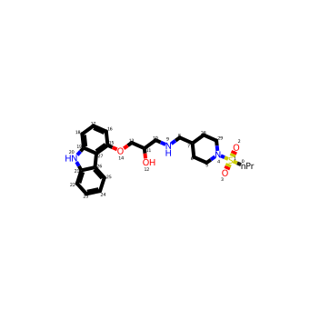 CCCS(=O)(=O)N1CCC(CNCC(O)COc2cccc3[nH]c4ccccc4c23)CC1